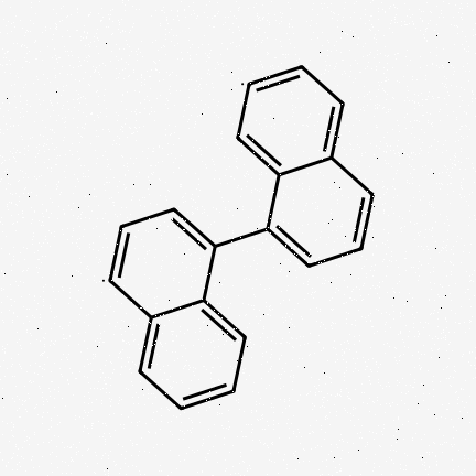 [c]1ccc2cccc(-c3cc[c]c4ccccc34)c2c1